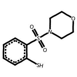 O=S(=O)(c1ccccc1S)N1CCOCC1